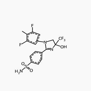 Cc1c(F)cc(N2CC(O)(C(F)(F)F)N=C2c2ccc(S(N)(=O)=O)cc2)cc1F